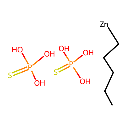 CCCC[CH2][Zn].OP(O)(O)=S.OP(O)(O)=S